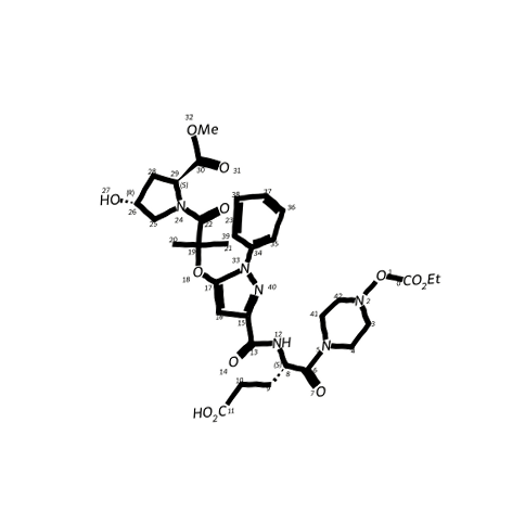 CCOC(=O)ON1CCN(C(=O)[C@H](CCC(=O)O)NC(=O)c2cc(OC(C)(C)C(=O)N3C[C@H](O)C[C@H]3C(=O)OC)n(-c3ccccc3)n2)CC1